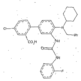 CC(C)CN(c1ccc(-c2ccc(Cl)cc2C(=O)O)cc1NC(=O)Nc1ccccc1F)C1CCCCC1